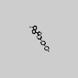 CC(=O)c1cccc2c(-c3cnn4cc(N5CCC(N6CCN(C)CC6)CC5)cnc34)cccc12